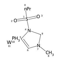 CCCS(=O)(=O)N1C=CN(C)C1.P.[W]